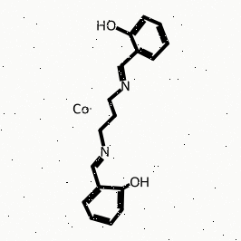 Oc1ccccc1C=NCCCN=Cc1ccccc1O.[Co]